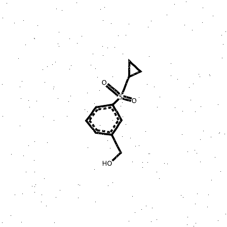 O=S(=O)(c1cccc(CO)c1)C1CC1